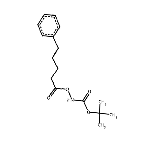 CC(C)(C)OC(=O)NOC(=O)CCCCc1ccccc1